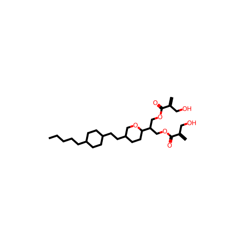 C=C(CO)C(=O)OCC(COC(=O)C(=C)CO)C1CCC(CCC2CCC(CCCCC)CC2)CO1